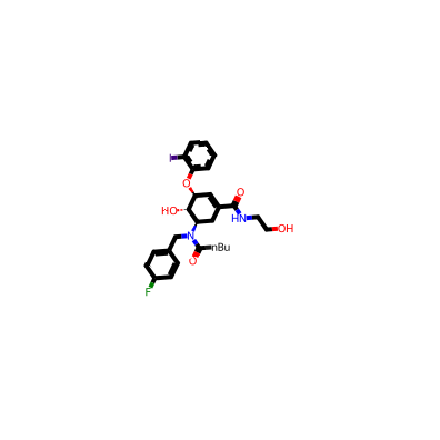 CCCCC(=O)N(CC1=CCC(F)C=C1)[C@@H]1CC(C(=O)NCCO)=C[C@H](Oc2ccccc2I)[C@H]1O